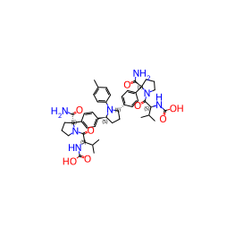 Cc1ccc(N2[C@H](c3ccc([C@]4(C(N)=O)CCCN4C(=O)[C@@H](NC(=O)O)C(C)C)cc3)CC[C@H]2c2ccc([C@]3(C(N)=O)CCCN3C(=O)[C@@H](NC(=O)O)C(C)C)cc2)cc1